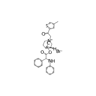 Cc1csc(C(=O)C[N+]23CCC(CC2)[C@@H](OC(=O)C(Nc2ccccc2)c2ccccc2)C3)c1.[Br-]